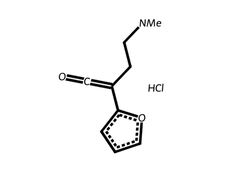 CNCCC(=C=O)c1ccco1.Cl